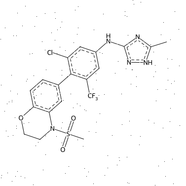 Cc1nc(Nc2cc(Cl)c(-c3ccc4c(c3)N(S(C)(=O)=O)CCO4)c(C(F)(F)F)c2)n[nH]1